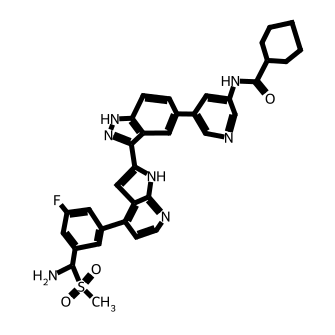 CS(=O)(=O)C(N)c1cc(F)cc(-c2ccnc3[nH]c(-c4n[nH]c5ccc(-c6cncc(NC(=O)C7CCCCC7)c6)cc45)cc23)c1